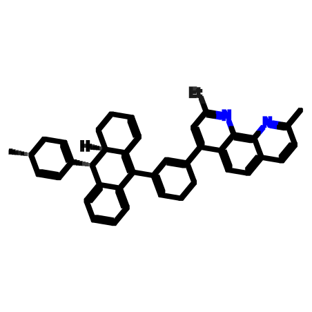 CCc1cc(C2=CC(C3=C4C=CCC[C@@H]4[C@@H](C4=CC[C@@H](C)C=C4)c4ccccc43)=CCC2)c2ccc3ccc(C)nc3c2n1